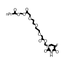 CCCC(=O)OCOC(=O)COCCOCCOCC(=O)OCn1cc(F)c(=O)[nH]c1=O